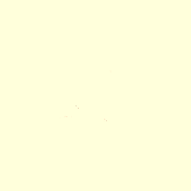 CCCCCNc1c[nH]c2ccc(Br)cc12